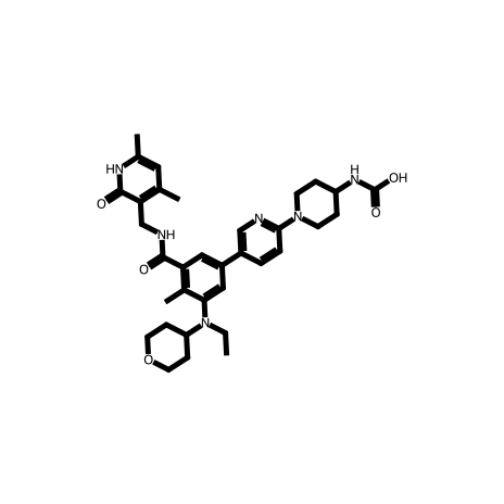 CCN(c1cc(-c2ccc(N3CCC(NC(=O)O)CC3)nc2)cc(C(=O)NCc2c(C)cc(C)[nH]c2=O)c1C)C1CCOCC1